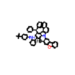 CC(C)(C)c1ccc(Nc2ccccc2-c2cc(C(c3ccccc3)c3ccccc3)c3c4c5ccccc5ccc4n4c3c2Bc2cc3oc5ccccc5c3cc2-4)cc1